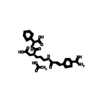 CC(=O)O.N=C(N)c1ccc(/C=C/C(=O)NCCCN(CC(=O)O)C(=O)NC(C(=O)O)c2ccccc2)cc1